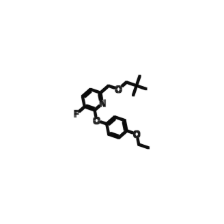 CCOc1ccc(Oc2nc(COCC(C)(C)C)ccc2F)cc1